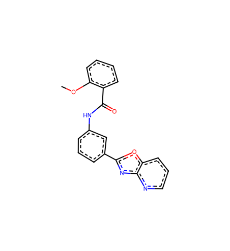 COc1ccccc1C(=O)Nc1cccc(-c2nc3ncccc3o2)c1